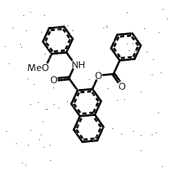 COc1ccccc1NC(=O)c1cc2ccccc2cc1OC(=O)c1ccccc1